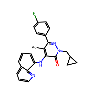 CC(=O)c1c(-c2ccc(F)cc2)nn(CC2CC2)c(=O)c1Nc1cccc2cccnc12